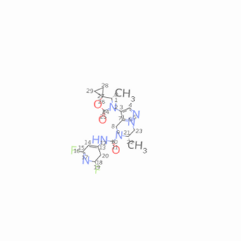 C[C@@H]1N(c2cnn3c2CN(C(=O)NC2=CC(F)=NC(F)C2)[C@@H](C)C3)C(=O)OC12CC2